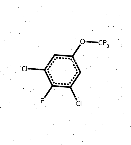 Fc1c(Cl)cc(OC(F)(F)F)cc1Cl